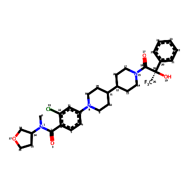 CN(C(=O)c1ccc(N2CCC(C3CCN(C(=O)[C@](O)(c4ccccc4)C(F)(F)F)CC3)CC2)cc1Cl)C1CCOC1